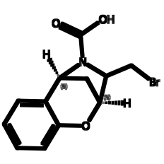 O=C(O)N1C(CBr)[C@@H]2C[C@H]1c1ccccc1O2